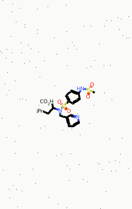 CC(C)CC(C(=O)O)N(Cc1cccnc1)S(=O)(=O)c1ccc(NS(C)(=O)=O)cc1